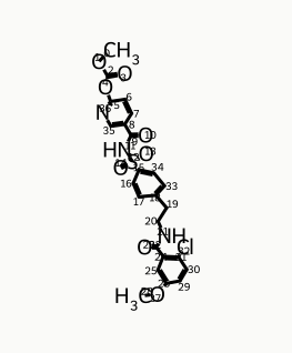 COC(=O)Oc1ccc(C(=O)NS(=O)(=O)c2ccc(CCNC(=O)c3cc(OC)ccc3Cl)cc2)cn1